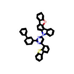 c1ccc(-c2cccc(-c3nc(-c4cccc5c4sc4ccccc45)cc(-n4c5ccccc5c5c6oc7ccccc7c6ccc54)n3)c2)cc1